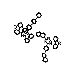 c1ccc(-c2ccc(-c3ccc(-c4nc(-c5ccccc5)nc(-c5cccc6oc7cccc(-c8ccc(-c9cccc(-c%10ccc%11ccc(-c%12nc(-c%13ccc(-c%14ccc%15ccccc%15c%14)cc%13)nc(-c%13cccc%14oc%15ccccc%15c%13%14)n%12)cc%11c%10)c9)cc8)c7c56)n4)cc3)cc2)cc1